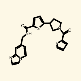 O=C(NCc1ccn2ccnc2c1)c1ccc(C2CCN(C(=O)c3cccs3)C2)s1